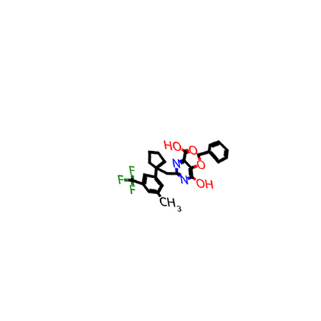 Cc1cc(C(F)(F)F)cc(C2(Cc3nc(O)c(OCc4ccccc4)c(C(=O)O)n3)CCCC2)c1